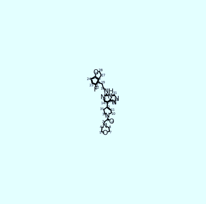 O=C(CN1CCOCC1)N1CC=C(c2cnc(NCCc3c(F)ccc4c3CCO4)n3cnnc23)CC1